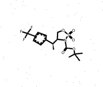 C[C@@H](c1ccc(C(F)(F)F)cc1)C1COS(=O)(=O)N1C(=O)OC(C)(C)C